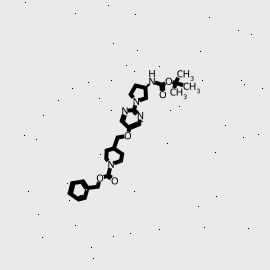 CC(C)(C)OC(=O)N[C@@H]1CCN(c2ncc(OCC3CCN(C(=O)OCc4ccccc4)CC3)cn2)C1